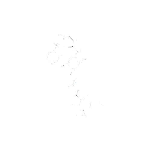 CC(=O)C[C@@H]1C[C@@]2(CO2)[C@H](O)[C@@H](/C=C/C(C)=C/C[C@@H]2O[C@H](C)[C@H](NC(=O)/C=C\[C@H](C)OC(=O)N3CCCCC3)C[C@@H]2C)O1